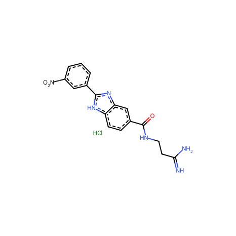 Cl.N=C(N)CCNC(=O)c1ccc2[nH]c(-c3cccc([N+](=O)[O-])c3)nc2c1